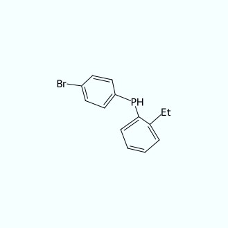 CCc1ccccc1Pc1ccc(Br)cc1